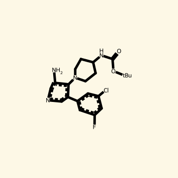 CC(C)(C)OC(=O)NC1CCN(c2c(N)cncc2-c2cc(F)cc(Cl)c2)CC1